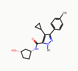 CC(C)n1nc(-c2ccc(C#N)cc2)c(C2CC2)c1C(=O)N[C@@H]1CC[C@H](O)C1